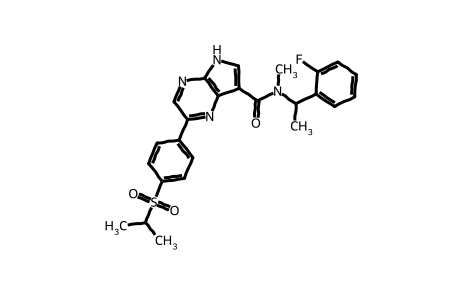 CC(c1ccccc1F)N(C)C(=O)c1c[nH]c2ncc(-c3ccc(S(=O)(=O)C(C)C)cc3)nc12